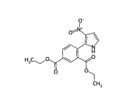 CCOC(=O)c1ccc(-c2[nH]ccc2[N+](=O)[O-])c(C(=O)OCC)c1